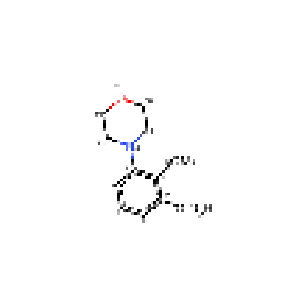 COc1c(C(=O)O)cccc1N1CCOCC1